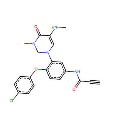 C#CC(=O)Nc1ccc(Oc2ccc(Cl)cc2)c(N2C=C(NC)C(=O)N(C)C2)c1